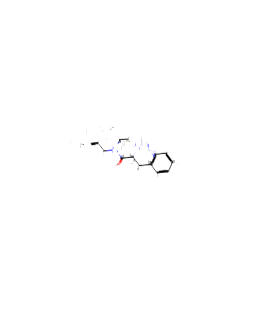 C=CCN(C(=O)[C@@H](N)Cc1ccccc1)[C@@H](C)C(=O)O